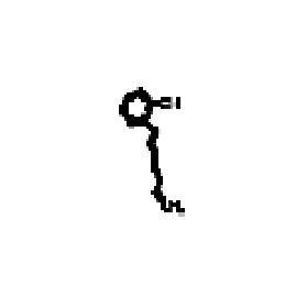 C=CCCCCCc1ccccc1O